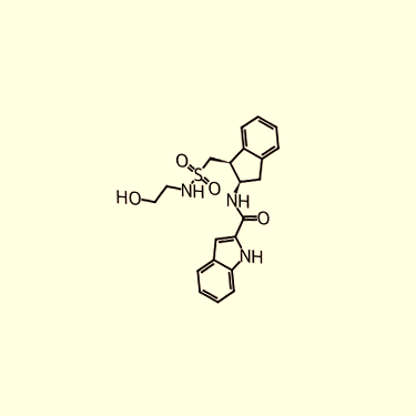 O=C(N[C@@H]1Cc2ccccc2[C@@H]1CS(=O)(=O)NCCO)c1cc2ccccc2[nH]1